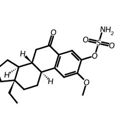 CC[C@@]12CCC[C@H]1[C@@H]1CC(=O)c3cc(OS(N)(=O)=O)c(OC)cc3[C@H]1CC2